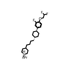 CCC[SiH]1CCC(CCCC[C@H]2CC[C@H](c3ccc(OCC(F)F)c(F)c3)CC2)CC1